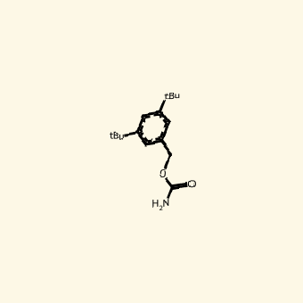 CC(C)(C)c1cc(COC(N)=O)cc(C(C)(C)C)c1